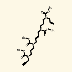 C#CCN(CCCN(CC=CCN(CCCN(CC=C)C(=O)OC(C)(C)C)C(=O)OC(C)(C)C)C(=O)OC(C)(C)C)C(=O)OC(C)(C)C